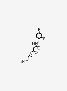 CC(C)CCOCC(=O)CC(=O)NCc1ccc(F)cc1F